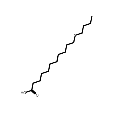 CCCCSCCCCCCCCCCC(=O)O